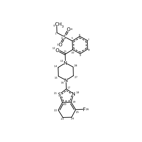 CCS(=O)(=O)c1ccccc1C(=O)N1CCN(c2nc3c(s2)=CCCC=3F)CC1